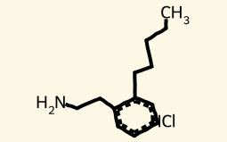 CCCCCc1ccccc1CCN.Cl